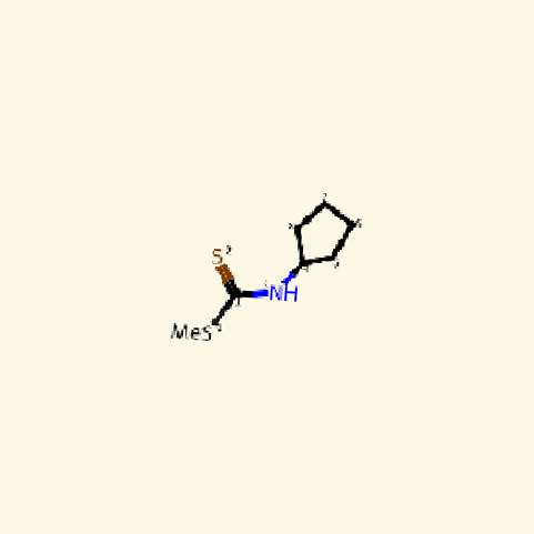 CSC(=S)NC1CCCC1